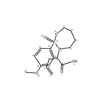 C=CCC(C(=O)O)N1CCCCOP1(=O)c1ccc(OC)cc1